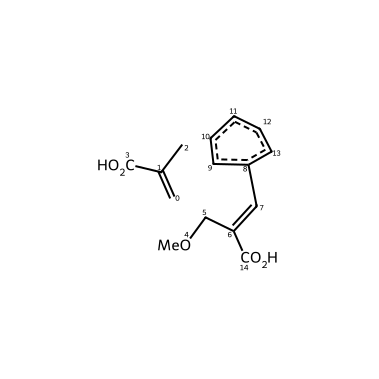 C=C(C)C(=O)O.COCC(=Cc1ccccc1)C(=O)O